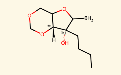 BC1OC2COCO[C@H]2[C@]1(O)CCCC